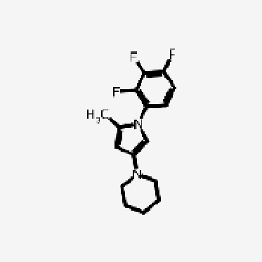 Cc1cc(N2CCCCC2)cn1-c1ccc(F)c(F)c1F